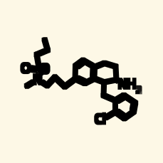 CCCS(=O)(=O)N(C)CCCc1ccc2c(c1)C(Cc1ccccc1Cl)C(N)CC2